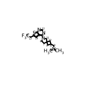 CN(C)CC1CC2(CCN(c3ncnc4sc(CC(F)(F)F)cc34)C2)C1